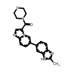 Cc1nc2ccc(-c3ccc4ncc(C(=O)N5CCOCC5)n4c3)cc2[nH]1